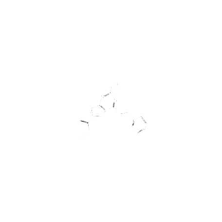 COc1nc2c(c(OCc3ccccc3)n1)CN(C(=O)OC(C)(C)C)C2